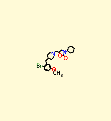 COc1ccc(Br)c(CC2CCN(CC3CN(C4CCCCC4)C(=O)O3)CC2)c1